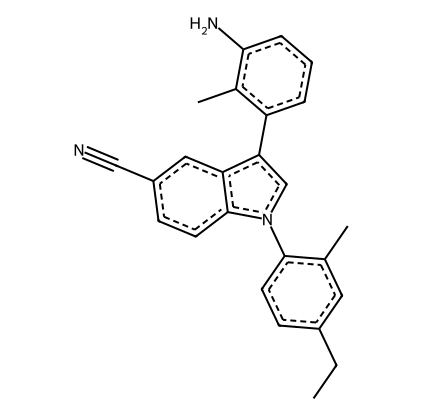 CCc1ccc(-n2cc(-c3cccc(N)c3C)c3cc(C#N)ccc32)c(C)c1